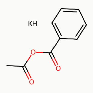 CC(=O)OC(=O)c1ccccc1.[KH]